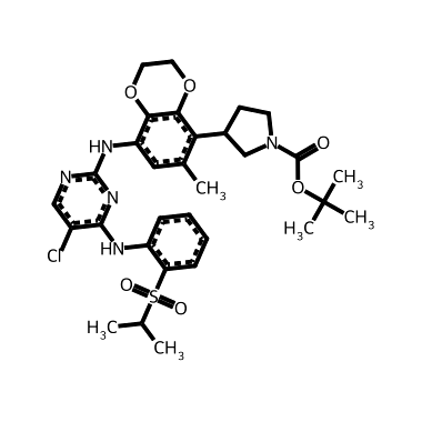 Cc1cc(Nc2ncc(Cl)c(Nc3ccccc3S(=O)(=O)C(C)C)n2)c2c(c1C1CCN(C(=O)OC(C)(C)C)C1)OCCO2